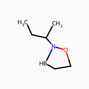 CCC(C)N1BCCO1